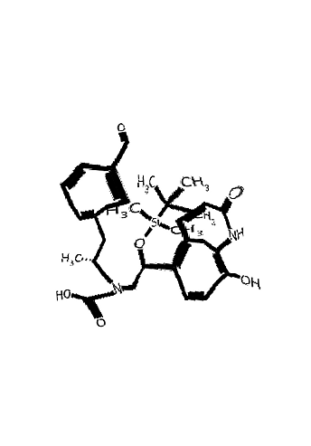 C[C@H](Cc1cccc(C=O)c1)N(C[C@@H](O[Si](C)(C)C(C)(C)C)c1ccc(O)c2[nH]c(=O)ccc12)C(=O)O